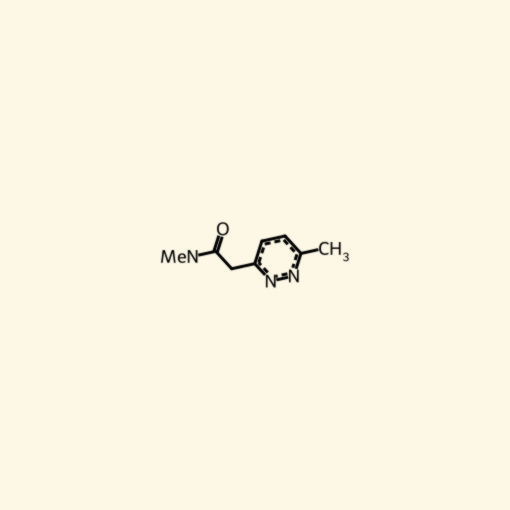 CNC(=O)Cc1ccc(C)nn1